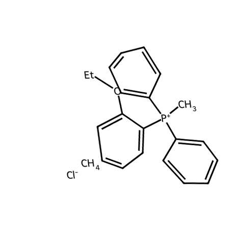 C.CCOc1ccccc1[P+](C)(c1ccccc1)c1ccccc1.[Cl-]